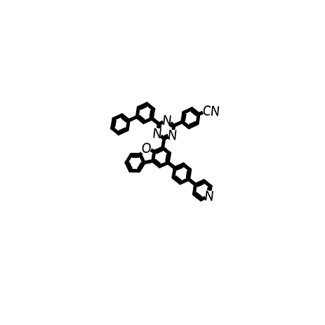 N#Cc1ccc(-c2nc(-c3cccc(-c4ccccc4)c3)nc(-c3cc(-c4ccc(-c5ccncc5)cc4)cc4c3oc3ccccc34)n2)cc1